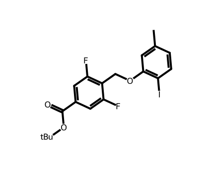 Cc1ccc(I)c(OCc2c(F)cc(C(=O)OC(C)(C)C)cc2F)c1